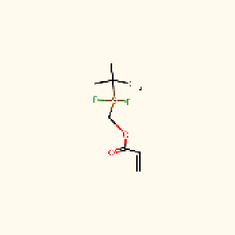 C=CC(=O)OCS(F)(F)C(C)(C)C(F)(F)F